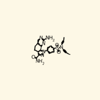 CC#CN(C#CC)S(=O)(=O)c1ccc(-n2nc(C(N)=O)c3c2-c2nc(N)ncc2CC3)cc1